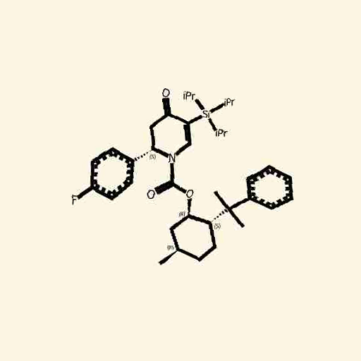 CC(C)[Si](C1=CN(C(=O)O[C@@H]2C[C@H](C)CC[C@H]2C(C)(C)c2ccccc2)[C@H](c2ccc(F)cc2)CC1=O)(C(C)C)C(C)C